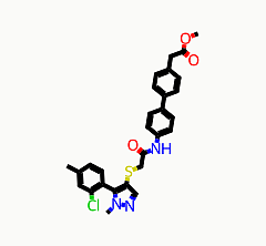 COC(=O)Cc1ccc(-c2ccc(NC(=O)CSc3cnn(C)c3-c3ccc(C)cc3Cl)cc2)cc1